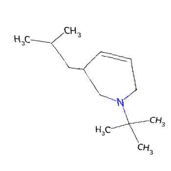 CC(C)CC1C=CCN(C(C)(C)C)C1